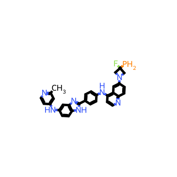 Cc1cc(Nc2ccc3[nH]c(-c4ccc(Nc5ccnc6ccc(N7CC(F)(P)C7)cc56)cc4)nc3c2)ccn1